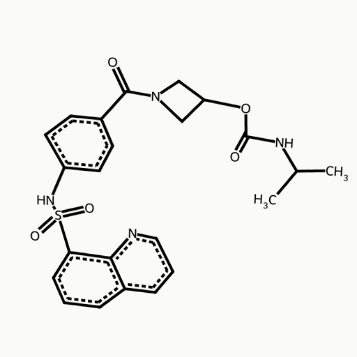 CC(C)NC(=O)OC1CN(C(=O)c2ccc(NS(=O)(=O)c3cccc4cccnc34)cc2)C1